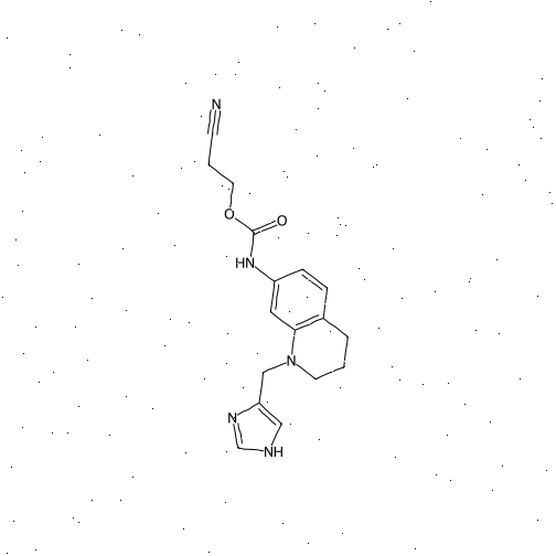 N#CCCOC(=O)Nc1ccc2c(c1)N(Cc1c[nH]cn1)CCC2